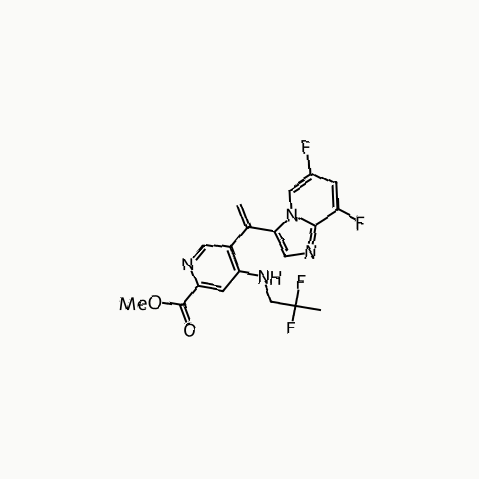 C=C(c1cnc(C(=O)OC)cc1NCC(C)(F)F)c1cnc2c(F)cc(F)cn12